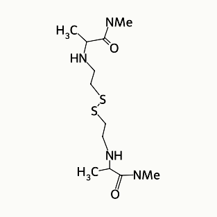 CNC(=O)C(C)NCCSSCCNC(C)C(=O)NC